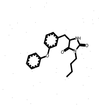 CCCCN1C(=O)NC(Cc2cccc(Oc3ccccc3)c2)C1=O